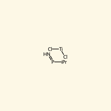 CC(C)P=N.[Cl][Ti][Cl]